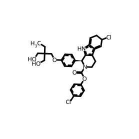 CCC(CO)(CO)COc1ccc([C@H]2c3[nH]c4c(c3CCN2C(=O)Oc2ccc(Cl)cc2)=CC(Cl)CC=4)cc1